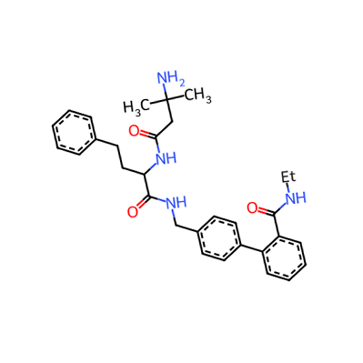 CCNC(=O)c1ccccc1-c1ccc(CNC(=O)C(CCc2ccccc2)NC(=O)CC(C)(C)N)cc1